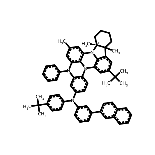 Cc1cc2c3c(c1)N1c4c(cc(C(C)(C)C)cc4C4(C)CCCC[C@@]14C)B3c1ccc(N(c3ccc(C(C)(C)C)cc3)c3cccc(-c4ccc5ccccc5c4)c3)cc1N2c1ccccc1